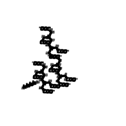 O=C([O-])CN(CCN(CC(=O)[O-])CC(=O)[O-])CC(=O)[O-].O=C([O-])CN(CCN(CC(=O)[O-])CC(=O)[O-])CC(=O)[O-].O=C([O-])CN(CCN(CC(=O)[O-])CC(=O)[O-])CC(=O)[O-].[In+3].[In+3].[In+3].[In+3]